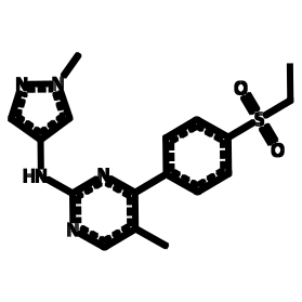 CCS(=O)(=O)c1ccc(-c2nc(Nc3cnn(C)c3)ncc2C)cc1